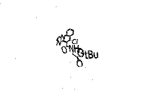 CC(C)(C)OC(=O)CNC(=O)c1c(Cl)c2ccccc2n2ccnc12